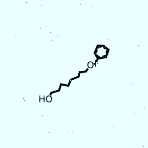 OCCCCCCCCO[I]c1ccccc1